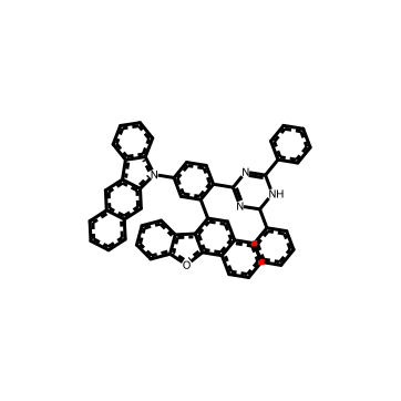 c1ccc(C2=NC(c3ccc(-n4c5ccccc5c5cc6ccccc6cc54)cc3-c3cc4ccccc4c4oc5ccccc5c34)=NC(c3ccccc3)N2)cc1